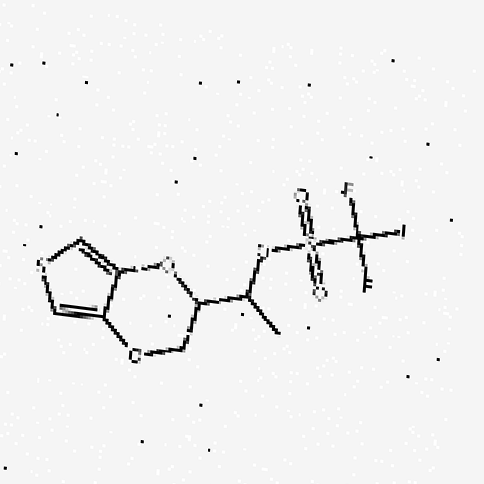 CC(OS(=O)(=O)C(F)(F)F)C1COc2cscc2O1